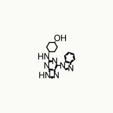 O[C@H]1CC[C@H](Nc2nc(-n3cnc4ccccc43)c3nc[nH]c3n2)CC1